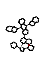 c1ccc(-c2ccc(-c3ccccc3)n2-c2ccc(-c3ccc4c(-c5ccc6ccccc6c5)c5ccccc5c(-c5ccc6ccccc6c5)c4c3)c3ccccc23)cc1